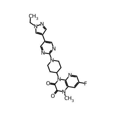 CCn1cc(-c2cnc(N3CCC(n4c(=O)c(=O)n(C)c5cc(F)cnc54)CC3)nc2)cn1